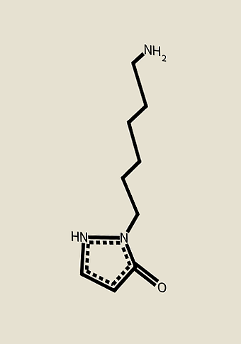 NCCCCCCn1[nH]ccc1=O